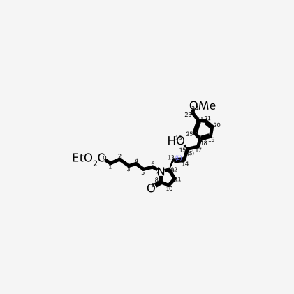 CCOC(=O)CCCCCCN1C(=O)CC[C@@H]1/C=C/[C@@H](O)Cc1cccc(COC)c1